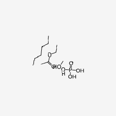 CCCCCC.CCOC(C)=O.CO.O=P(O)(O)O